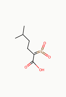 CC(C)CCC(C(=O)O)=S(=O)=O